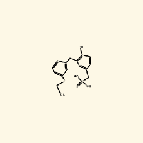 CCOc1cccc(Cc2cc(CP(=O)(O)O)ccc2O)c1